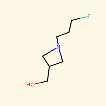 OCC1CN(CCCF)C1